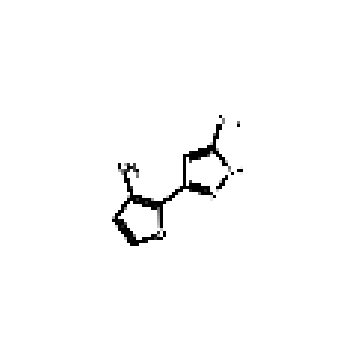 Cc1ccoc1-c1cc(N)[nH]n1